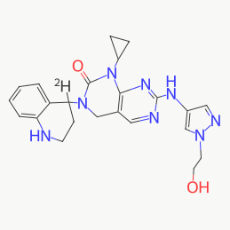 [2H]C1(N2Cc3cnc(Nc4cnn(CCO)c4)nc3N(C3CC3)C2=O)CCNc2ccccc21